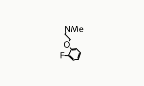 CNCCOc1ccccc1F